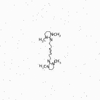 CN1CCCN(C)C1=NCCSSCCN=C1N(C)CCCN1C